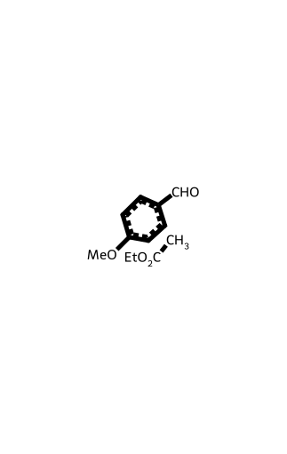 CCOC(C)=O.COc1ccc(C=O)cc1